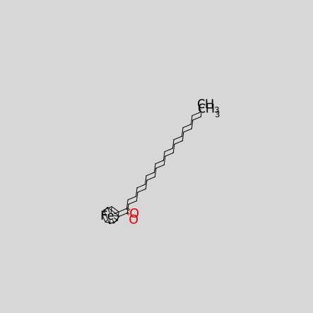 CCCCCCCCCCCCCCCCCC(=O)[C]12[CH]3[CH]4[CH]5[CH]1[Fe]45321678[CH]2[CH]1[CH]6[C]7(C(=O)CCCCCCCCCCCCCCCCC)[CH]28